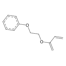 C=CC(=C)OCCOc1ccccc1